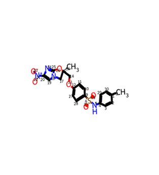 Cc1ccc(NS(=O)(=O)c2ccc(OC[C@@]3(C)Cn4cc([N+](=O)[O-])nc4O3)cc2)cc1